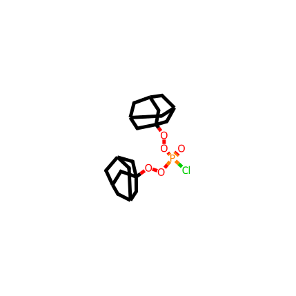 O=P(Cl)(OOC12CC3CC(CC(C3)C1)C2)OOC12CC3CC(CC(C3)C1)C2